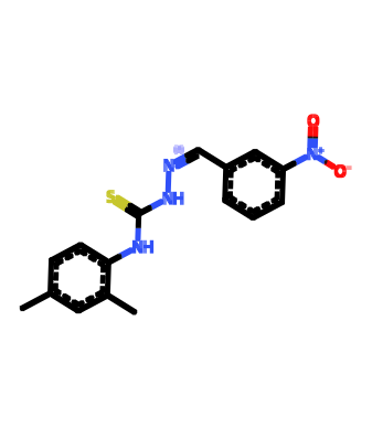 Cc1ccc(NC(=S)N/N=C\c2cccc([N+](=O)[O-])c2)c(C)c1